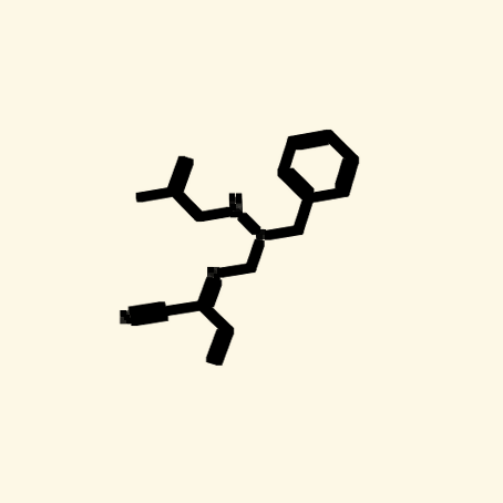 C=C/C(C#N)=N\CP(Cc1ccccc1)NCC(=C)C